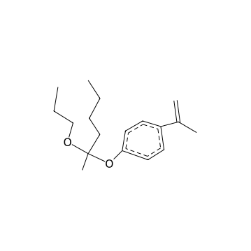 C=C(C)c1ccc(OC(C)(CCCC)OCCC)cc1